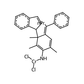 CCCC(=C1C=C(C)C([NH][Cr]([Cl])[Cl])=C(C)C1(C)C1C=Cc2ccccc21)c1ccccc1